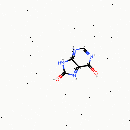 O=C1N=C2C(=O)N=CN=C2N1